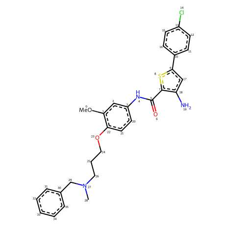 COc1cc(NC(=O)c2sc(-c3ccc(Cl)cc3)cc2N)ccc1OCCCN(C)Cc1ccccc1